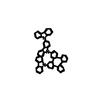 c1ccc2c(c1)-c1ccccc1-c1ccc(-n3c4ccccc4c4cc(-n5c6ccccc6c6ccccc65)ccc43)cc1-c1cc(-n3c4ccccc4c4ccccc43)ccc1-2